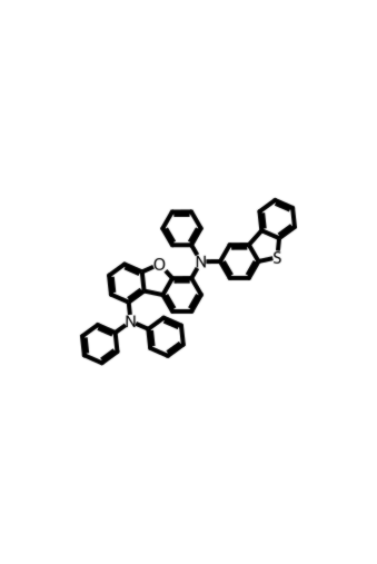 c1ccc(N(c2ccc3sc4ccccc4c3c2)c2cccc3c2oc2cccc(N(c4ccccc4)c4ccccc4)c23)cc1